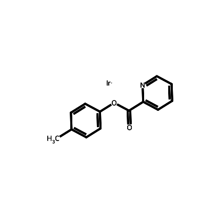 Cc1ccc(OC(=O)c2ccccn2)cc1.[Ir]